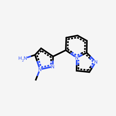 Cn1nc(-c2cccc3nccn23)cc1N